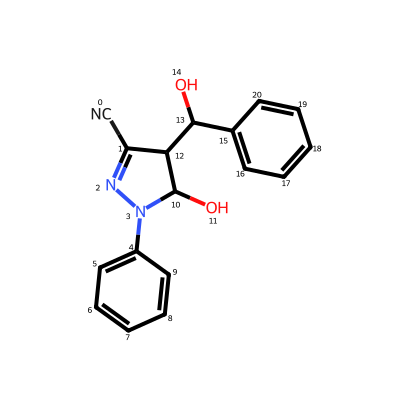 N#CC1=NN(c2ccccc2)C(O)C1C(O)c1ccccc1